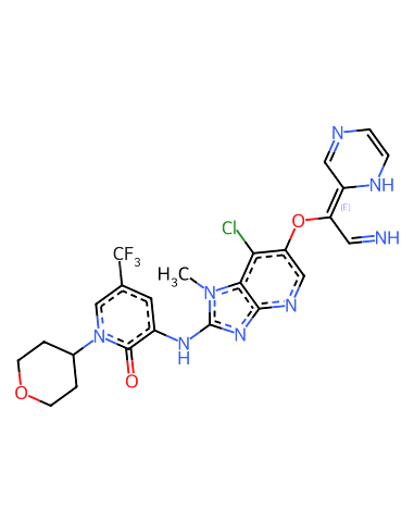 Cn1c(Nc2cc(C(F)(F)F)cn(C3CCOCC3)c2=O)nc2ncc(O/C(C=N)=C3\C=NC=CN3)c(Cl)c21